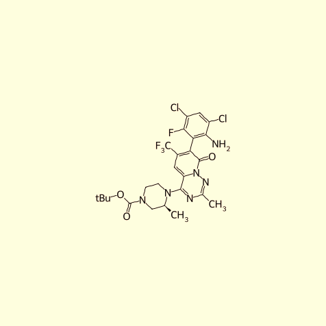 Cc1nc(N2CCN(C(=O)OC(C)(C)C)C[C@@H]2C)c2cc(C(F)(F)F)c(-c3c(N)c(Cl)cc(Cl)c3F)c(=O)n2n1